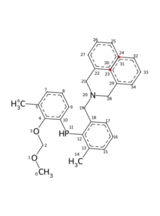 COCOc1c(C)cccc1Pc1c(C)cccc1CN(Cc1ccccc1)Cc1ccccc1